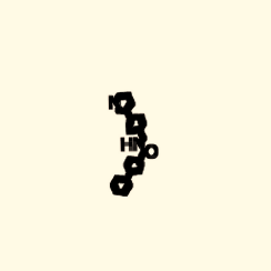 O=C(NCc1ccc(-c2cccnc2)cc1)c1ccc(-c2ccccc2)cc1